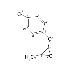 CC1OC1Oc1ccc(Cl)cc1